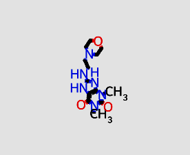 Cn1c2c(c(=O)n(C)c1=O)NC(NCCN1CCOCC1)N2